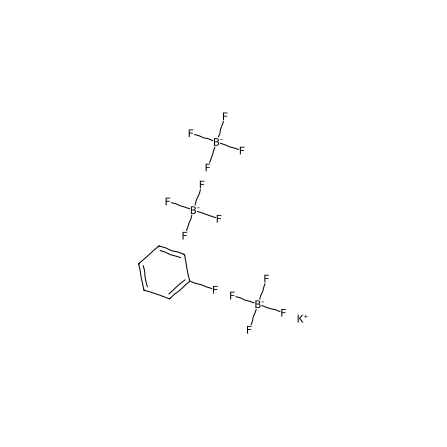 F[B-](F)(F)F.F[B-](F)(F)F.F[B-](F)(F)F.Fc1ccccc1.[K+]